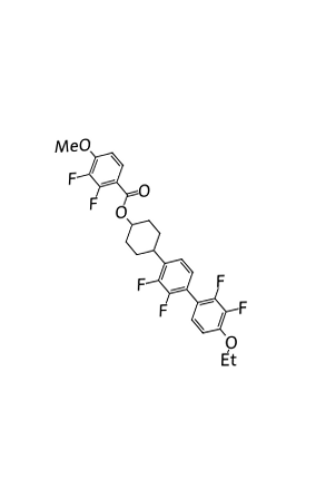 CCOc1ccc(-c2ccc(C3CCC(OC(=O)c4ccc(OC)c(F)c4F)CC3)c(F)c2F)c(F)c1F